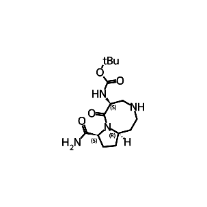 CC(C)(C)OC(=O)N[C@H]1CNCC[C@H]2CC[C@@H](C(N)=O)N2C1=O